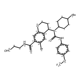 CC(C)(C)C1CCC(N(C(=O)Nc2ccc(OC(F)(F)F)cc2)C2CCOc3cc(C(=O)NCCC=O)c(Br)cc32)CC1